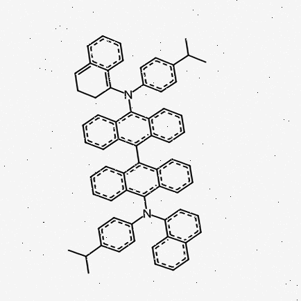 CC(C)c1ccc(N(C2=c3ccccc3=CCC2)c2c3ccccc3c(-c3c4ccccc4c(N(c4ccc(C(C)C)cc4)c4cccc5ccccc45)c4ccccc34)c3ccccc23)cc1